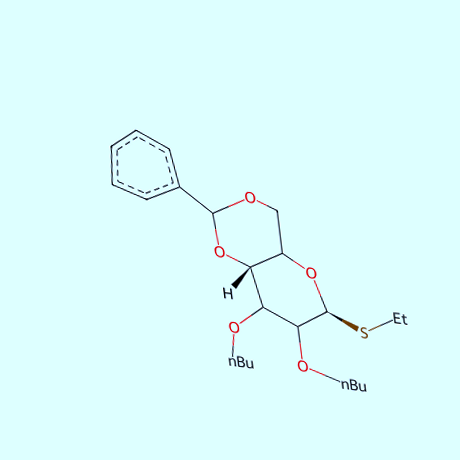 CCCCOC1C(OCCCC)[C@H](SCC)OC2COC(c3ccccc3)O[C@H]21